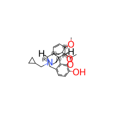 CO[C@]12C=C[C@@]3(CC1C(C)=O)[C@H]1Cc4ccc(O)c5c4[C@@]3(CCN1CC1CC1)[C@H]2O5